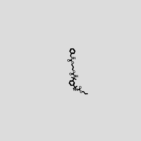 CCCOC(=O)NC(C)(C)c1cccc(C(C)(C)NC(=O)OCCCOC(=O)NCc2ccccc2)c1